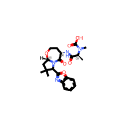 C[C@@H](C(=O)N[C@H]1CCO[C@H]2CC(C)(C)C(c3nc4ccccc4o3)N2C1=O)N(C)C(=O)O